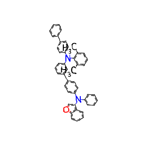 Cc1cccc(C)c1N(c1ccc(-c2ccccc2)cc1)c1cccc(-c2ccc(N(c3ccccc3)c3coc4ccccc34)cc2)c1